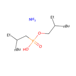 CCCCC(CC)COP(=O)(O)CC(CC)CCCC.N